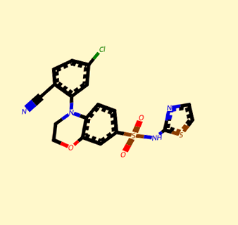 N#Cc1ccc(Cl)cc1N1CCOc2cc(S(=O)(=O)Nc3nccs3)ccc21